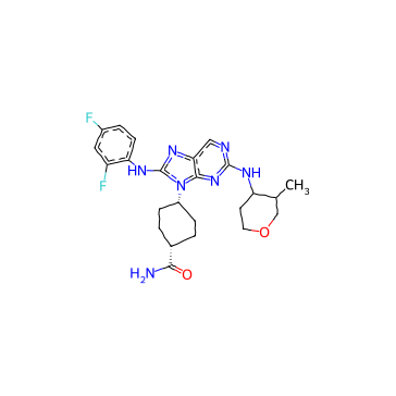 CC1COCCC1Nc1ncc2nc(Nc3ccc(F)cc3F)n([C@H]3CC[C@@H](C(N)=O)CC3)c2n1